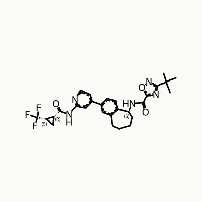 CC(C)(C)c1noc(C(=O)N[C@H]2CCCCc3cc(-c4ccnc(NC(=O)[C@@H]5C[C@@H]5C(F)(F)F)c4)ccc32)n1